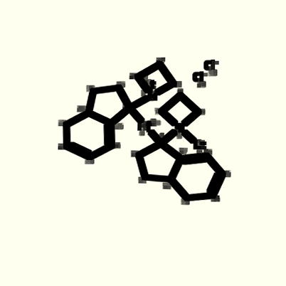 CC[Si]1([C]2([Hf+2][C]3([Si]4(CC)CCC4)CCC4CC=CC=C43)CCC3CC=CC=C32)CCC1.[Cl-].[Cl-]